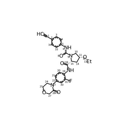 C#Cc1ccc(NC(=O)N2C[C@H](OCC)C[C@@H]2C(=O)Nc2ccc(N3CCOCC3=O)cc2F)cc1